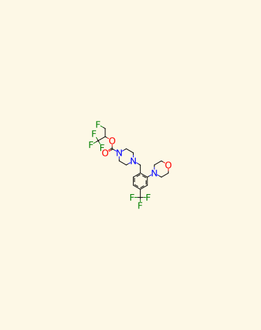 O=C(OC(CF)C(F)(F)F)N1CCN(Cc2ccc(C(F)(F)F)cc2N2CCOCC2)CC1